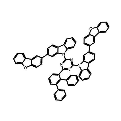 c1ccc(-c2cccc(-c3nc(-n4c5ccccc5c5ccc(-c6ccc7oc8ccccc8c7c6)cc54)nc(-n4c5ccccc5c5ccc(-c6ccc7oc8ccccc8c7c6)cc54)n3)c2-c2ccccc2)cc1